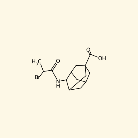 CC(Br)C(=O)NC1C2CC3CC1CC(C(=O)O)(C3)C2